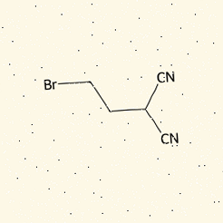 N#CC(C#N)CCBr